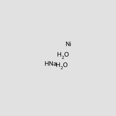 O.O.[NaH].[Ni]